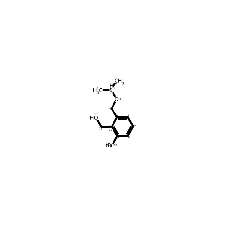 C[SiH](C)OCc1cccc(C(C)(C)C)c1CO